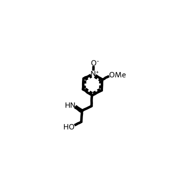 COc1cc(CC(=N)CO)cc[n+]1[O-]